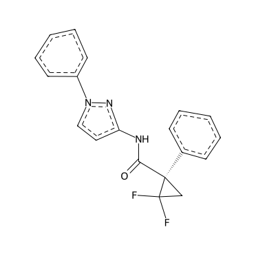 O=C(Nc1ccn(-c2ccccc2)n1)[C@@]1(c2ccccc2)CC1(F)F